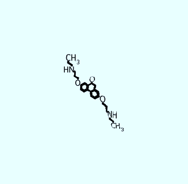 CCCNCCCOc1ccc2c(c1)CC(=O)c1cc(OCCCNCCC)ccc1-2